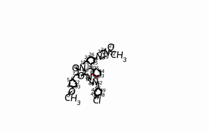 CCOc1ccc(/C=C/C(=O)N(Cc2ccc(N3CCN(C(C)=O)CC3)cc2)[C@@H](Cc2ccccc2)C(=O)N2CCN(Cc3ccc(Cl)cc3)CC2)cc1